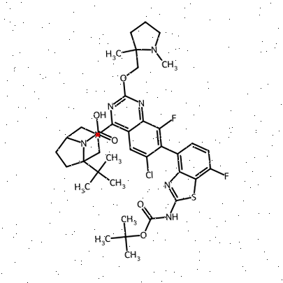 CN1CCCC1(C)COc1nc(N2CC3CCC(C(C)(C)C)(C2)N3C(=O)O)c2cc(Cl)c(-c3ccc(F)c4sc(NC(=O)OC(C)(C)C)nc34)c(F)c2n1